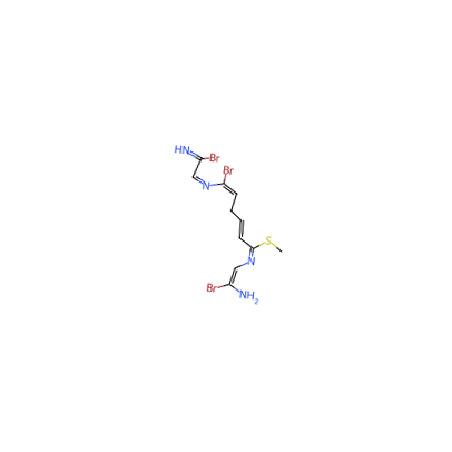 CSC(/C=C/C/C=C(Br)\N=C/C(=N)Br)=N/C=C(\N)Br